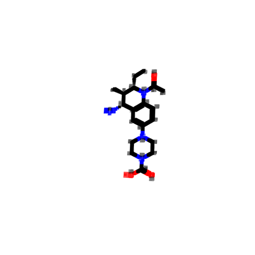 CC[C@H]1[C@H](C)[C@@H](N)c2cc(N3CCN(C(=O)O)CC3)ccc2N1C(C)=O